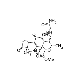 C=C1OC(COC)[C@@]2(C)C(=C(O)C(=O)C3=C2C(OC(C)=O)C[C@]2(C)C(=O)CCC32)/C1=C\NCC(N)=O